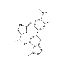 Cc1cc(-c2cc(O[C@H](C)[C@H]3CNC(=O)C3)c3c(c2)ncn3C)ccc1N(C)C